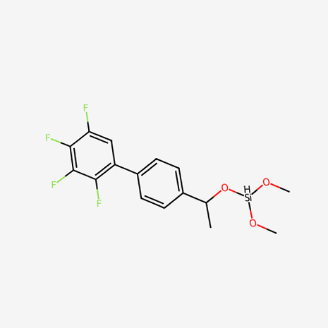 CO[SiH](OC)OC(C)c1ccc(-c2cc(F)c(F)c(F)c2F)cc1